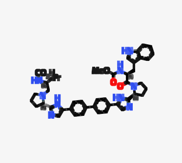 COC(=O)N[C@@H](Cc1c[nH]c2ccccc12)C(=O)N1CCC[C@H]1c1ncc(-c2ccc(-c3ccc(-c4cnc([C@@H]5CCCN5C[C@@H](NC(=O)O)C(C)C)[nH]4)cc3)cc2)[nH]1